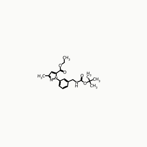 CCOC(=O)c1cc(C)nn1-c1cccc(CNC(=O)OC(C)(C)C)c1